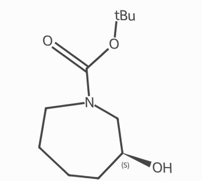 CC(C)(C)OC(=O)N1CCCC[C@H](O)C1